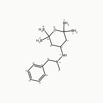 BC1(B)CC(NB(C)Cc2ccccc2)CC(B)(B)O1